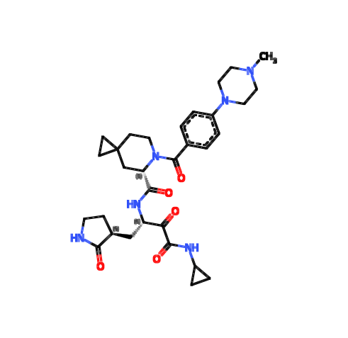 CN1CCN(c2ccc(C(=O)N3CCC4(CC4)C[C@H]3C(=O)N[C@@H](C[C@@H]3CCNC3=O)C(=O)C(=O)NC3CC3)cc2)CC1